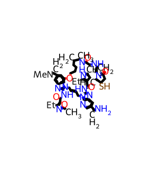 C=C(CN1C(=C)C(S)CC1=O)NCC(=O)N[C@@H](C)C(=C)CCCCOc1cc(C(=C)NC)cc2nc(NC(=O)c3oc(C)nc3CC)n(C/C=C/Cn3c(NC(=O)C4=C(CC)N=C(C)C4)nc4cc(C(=C)N)cnc43)c12